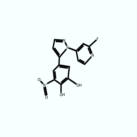 O=[N+]([O-])c1cc(-c2ccnn2-c2ccnc(F)c2)cc(O)c1O